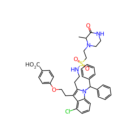 CC1C(=O)NCCN1CCS(=O)(=O)NCCc1c(CCOc2ccc(C(=O)O)cc2)c2c(Cl)cccc2n1C(c1ccccc1)c1ccccc1